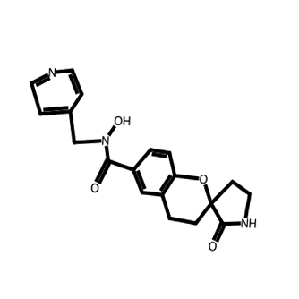 O=C(c1ccc2c(c1)CCC1(CCNC1=O)O2)N(O)Cc1ccncc1